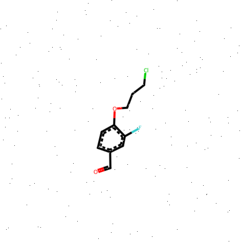 O=Cc1ccc(OCCCCl)c(F)c1